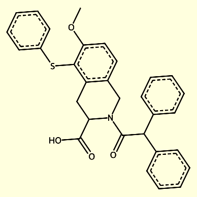 COc1ccc2c(c1Sc1ccccc1)CC(C(=O)O)N(C(=O)C(c1ccccc1)c1ccccc1)C2